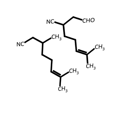 CC(C)=CCCC(C#N)CC=O.CC(C)=CCCC(C)CC#N